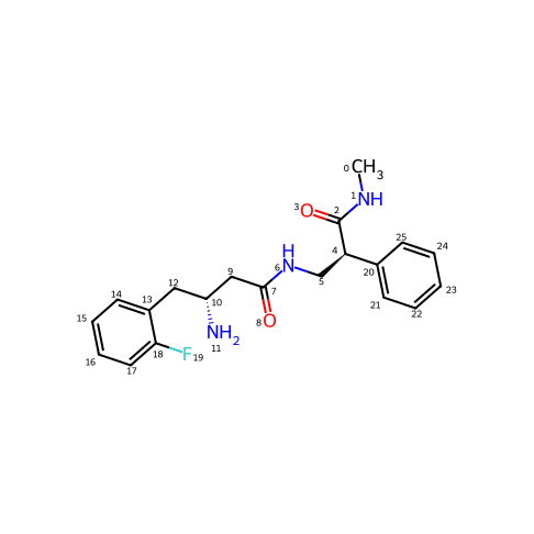 CNC(=O)[C@H](CNC(=O)C[C@H](N)Cc1ccccc1F)c1ccccc1